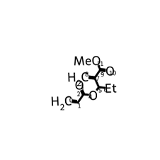 C=CC(=O)OC(CC)C(=C)C(=O)OC